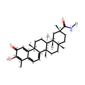 CCNC(=O)[C@]1(C)CC[C@]2(C)CC[C@]3(C)C4=CC=C5C(=CC(=O)C(O)=C5C)[C@]4(C)CC[C@@]3(CC)[C@@H]2C1